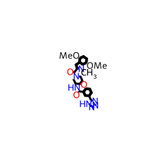 COc1ccc(OC)c2c1cc(C(=O)N1CCC3(CC1)NC(=O)c1cc(-c4nnn[nH]4)ccc1O3)n2C